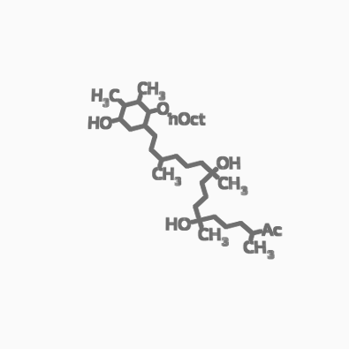 CCCCCCCCOC1C(CCC(C)CCCC(C)(O)CCCC(C)(O)CCCC(C)C(C)=O)CC(O)C(C)C1C